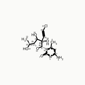 Cc1cc(N)nc(=O)n1[C@@H]1O[C@H]([C@H](C)O)C(O)[C@]1(O)C#CCl